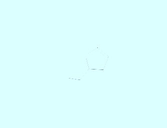 CCCC[C]1CC=CS1